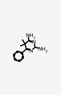 CC1(C)C(N)=NC(N)N=C1c1ccccc1